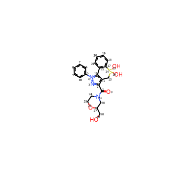 O=C(c1nn(-c2ccccc2)c2c1CS(O)(O)c1ccccc1-2)N1CCOC(CO)C1